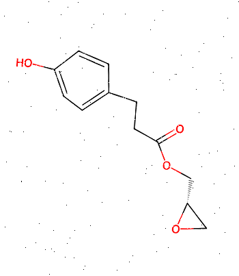 O=C(CCc1ccc(O)cc1)OC[C@@H]1CO1